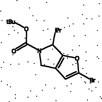 CC(C)C1c2oc(Br)cc2CN1C(=O)OC(C)(C)C